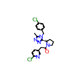 Cc1nnc([C@H]2CCCN2C(=O)Cc2ccc(Cl)nc2)n1Cc1ccc(Cl)cc1